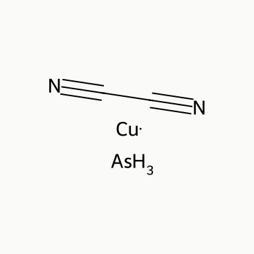 N#CC#N.[AsH3].[Cu]